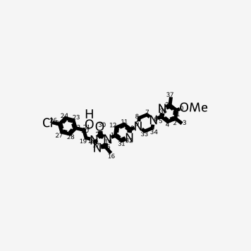 COc1c(C)cc(N2CCN(c3ccc(-n4c(C)nn(CC(O)c5ccc(Cl)cc5)c4=O)cn3)CC2)nc1C